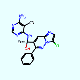 CC[C@@](O)(Nc1ncnc(N)c1C#N)c1cc2ncc(Cl)n2nc1-c1ccccc1